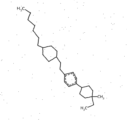 CCCCCCCC1CCC(CCc2ccc(C3CCC(C)(CC)CC3)cc2)CC1